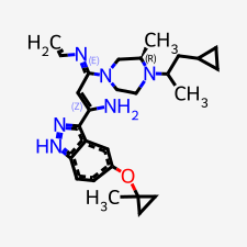 C=C/N=C(\C=C(/N)c1n[nH]c2ccc(OC3(C)CC3)cc12)N1CCN(C(C)CC2CC2)[C@H](C)C1